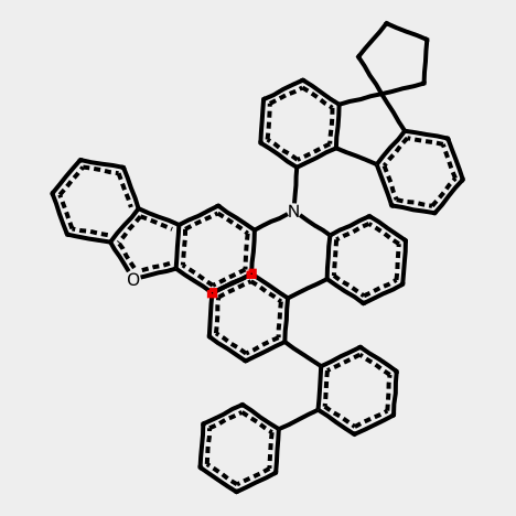 c1ccc(-c2ccccc2-c2ccccc2-c2ccccc2N(c2ccc3oc4ccccc4c3c2)c2cccc3c2-c2ccccc2C32CCCC2)cc1